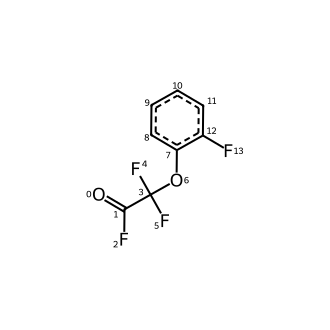 O=C(F)C(F)(F)Oc1ccccc1F